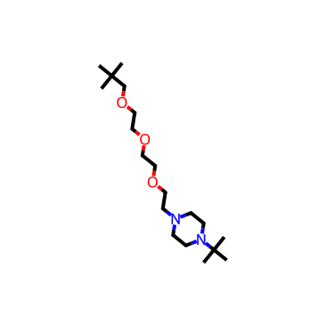 CC(C)(C)COCCOCCOCCN1CCN(C(C)(C)C)CC1